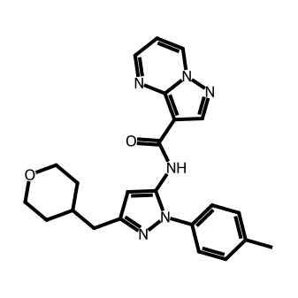 Cc1ccc(-n2nc(CC3CCOCC3)cc2NC(=O)c2cnn3cccnc23)cc1